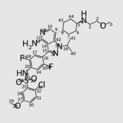 COCCN[C@H]1CC[C@H](c2cnc(N)c3c(-c4cc(F)c(NS(=O)(=O)c5cc(OC)ccc5Cl)cc4F)nn(C(C)C)c32)CC1